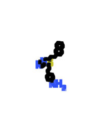 Nc1ccc(CCCSC(CCc2ccc3ccccc3c2)Cn2ccnc2)cc1